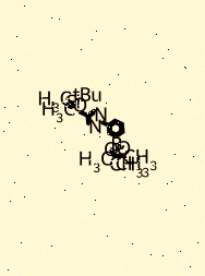 CC1(C)OB(c2cccc(-c3ncc(CO[Si](C)(C)C(C)(C)C)cn3)c2)OC1(C)C